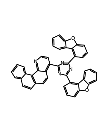 c1ccc2c(c1)ccc1ccc3c(-c4nc(-c5cccc6oc7ccccc7c56)nc(-c5cccc6oc7ccccc7c56)n4)ccnc3c12